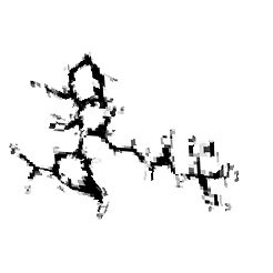 CC(C)(C)OC(=O)NCCc1nc2cccc(F)c2c(=O)n1-c1cc(Cl)cc(C(F)F)c1